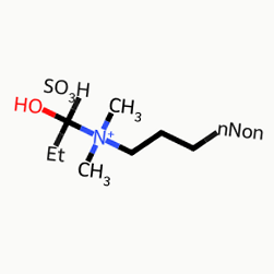 CCCCCCCCCCCC[N+](C)(C)C(O)(CC)S(=O)(=O)O